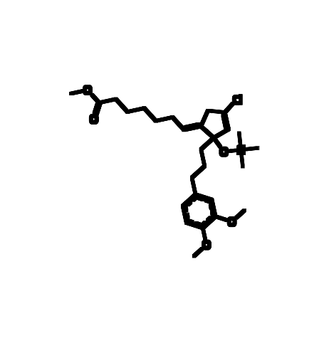 COC(=O)CCCCCC=C1CC(Cl)=CC1(CCCc1ccc(OC)c(OC)c1)O[Si](C)(C)C